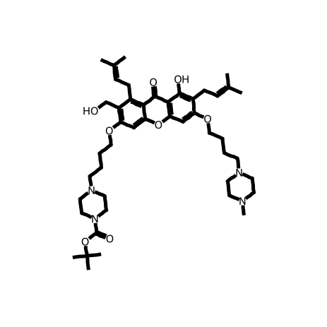 CC(C)=CCc1c(OCCCCN2CCN(C)CC2)cc2oc3cc(OCCCCN4CCN(C(=O)OC(C)(C)C)CC4)c(CO)c(CC=C(C)C)c3c(=O)c2c1O